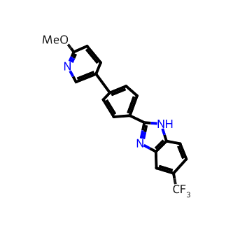 COc1ccc(-c2ccc(-c3nc4cc(C(F)(F)F)ccc4[nH]3)cc2)cn1